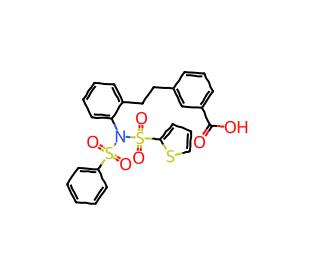 O=C(O)c1cccc(CCc2ccccc2N(S(=O)(=O)c2ccccc2)S(=O)(=O)c2cccs2)c1